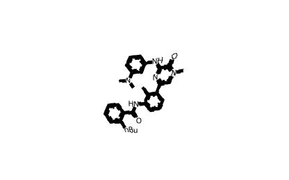 CCCCc1ccccc1C(=O)Nc1cccc(-c2cn(C)c(=O)c(Nc3cccc(N(C)C)c3)n2)c1C